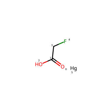 O=C(O)CF.[Hg]